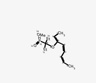 C\C=C/C=C\C(=C/C)OC(CC)(CC)[PH](=O)OC